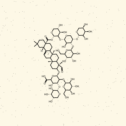 CC1(C)CC[C@]2(C(=O)O[C@@H]3OC[C@H](O)[C@@H](O)C3O[C@@H]3OC[C@H](O[C@@H]4OC[C@@H](O)[C@@H](O)C4O)[C@H](O[C@@H]4OC(CO)[C@@H](O)[C@@H](O)C4O)C3O)CC[C@]3(C)C(=CCC4[C@@]5(C)CCC(O[C@@H]6OC(C(=O)O)[C@@H](O)[C@@H](O[C@@H]7OC[C@H](O)[C@H](O)C7O)C6O[C@@H]6OC(CO)[C@H](O)[C@@H](O)C6O)[C@@](C)(C=O)C5CC[C@]43C)[C@@H]2C1